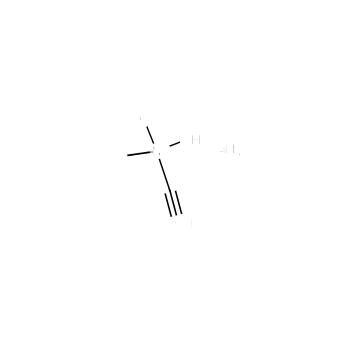 C#C[N+](C)(C)C.[SiH4]